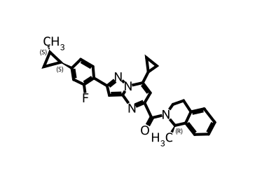 C[C@@H]1c2ccccc2CCN1C(=O)c1cc(C2CC2)n2nc(-c3ccc([C@H]4C[C@@H]4C)cc3F)cc2n1